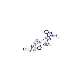 CCOC(=O)C(C)(C)Oc1cccc(CN(CCCn2c(CCOC)nc3c(N)nc4ccccc4c32)C(=O)CN(C)CC)c1